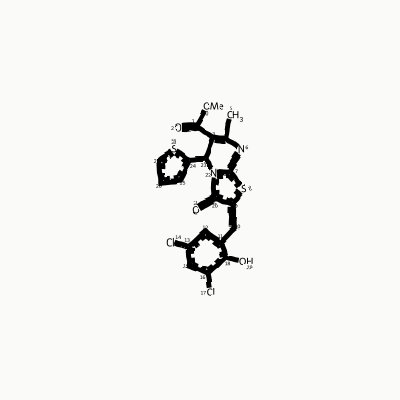 COC(=O)C1=C(C)N=c2s/c(=C/c3cc(Cl)cc(Cl)c3O)c(=O)n2C1c1cccs1